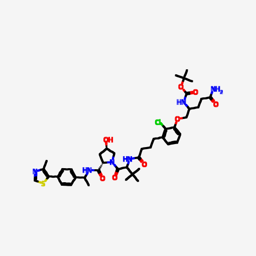 Cc1ncsc1-c1ccc(C(C)NC(=O)[C@@H]2C[C@@H](O)CN2C(=O)C(NC(=O)CCCc2cccc(OCC(CCC(N)=O)NC(=O)OC(C)(C)C)c2Cl)C(C)(C)C)cc1